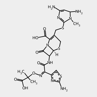 CN1C(SCC2=C(C(=O)O)N3C(=O)C(NC(=O)/C(=N\OC(C)(C)C(=O)O)c4csc(N)n4)[C@@H]3SC2)=NC(N)=CC1N